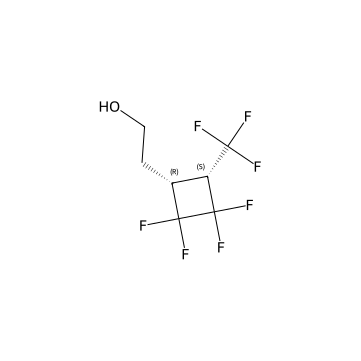 OCC[C@@H]1[C@H](C(F)(F)F)C(F)(F)C1(F)F